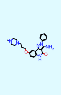 CN1CCN(CCCOc2ccc3[nH]c(=O)c4c(N)n(-c5ccccc5)nc4c3c2)CC1